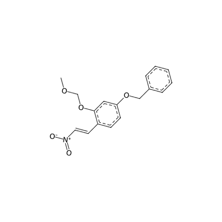 COCOc1cc(OCc2ccccc2)ccc1C=C[N+](=O)[O-]